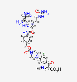 CCn1cc(C(=O)O)c(=O)c2cc(F)c(N3CCN(C(=O)OCc4ccc(NC(=O)C(/C=C/CCNC(N)=O)N/C=C(\N)C(C)(C)N)cc4)CC3)cc21